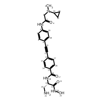 CN(CC(=O)Nc1ccc(C#Cc2ccc(C(=O)N[C@@H](CN)C(=O)NO)cc2)cc1)C1CC1